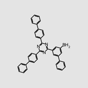 Bc1cc(-c2ccccc2)cc(-c2nc(-c3ccc(-c4ccccc4)cc3)nc(-c3ccc(-c4ccccc4)cc3)n2)c1